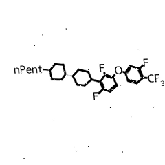 CCCCC[C@H]1CC[C@H](C2CCC(c3c(F)c[c]c(Oc4ccc(C(F)(F)F)c(F)c4)c3F)CC2)CC1